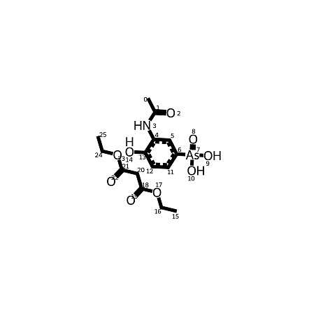 CC(=O)Nc1cc([As](=O)(O)O)ccc1O.CCOC(=O)CC(=O)OCC